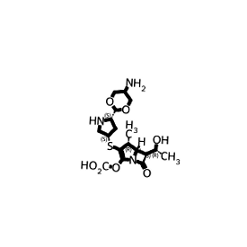 C[C@@H](O)[C@H]1C(=O)N2C(OC(=O)O)=C(S[C@@H]3CN[C@H](C4OCC(N)CO4)C3)[C@H](C)[C@H]12